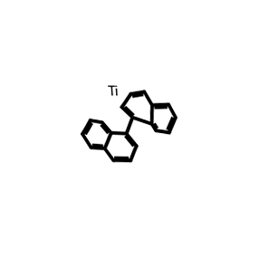 [Ti].c1ccc2c(-c3cccc4ccccc34)cccc2c1